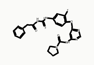 O=C(Cc1ccccc1)NC(=S)Nc1ccc(Oc2cc(NC(=O)N3CCCC3)ncn2)c(F)c1